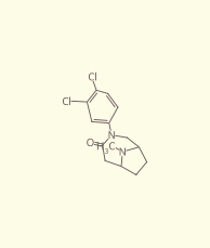 CN1C2CCC1CN(c1ccc(Cl)c(Cl)c1)C(=O)C2